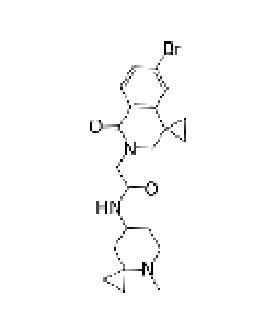 CN1CCC(NC(=O)CN2CC3(CC3)c3cc(Br)ccc3C2=O)CC12CC2